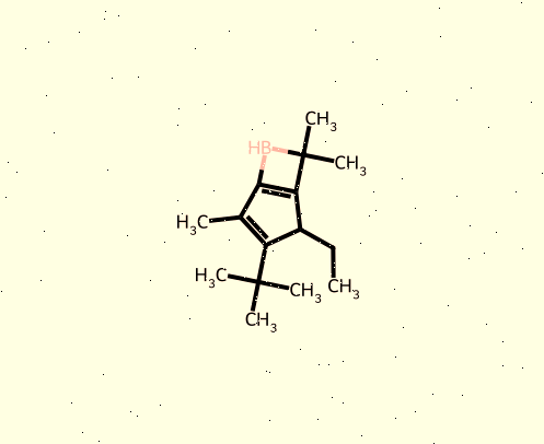 CCC1C(C(C)(C)C)=C(C)C2=C1C(C)(C)B2